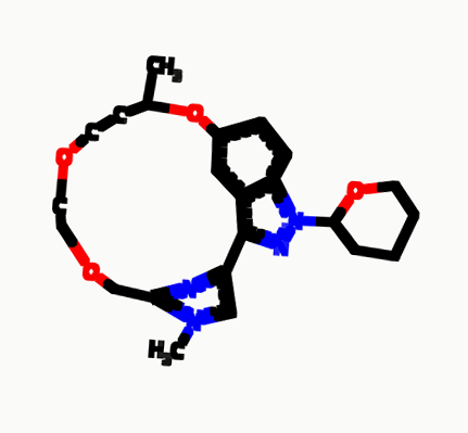 CC1CCOCCOCc2nc(cn2C)-c2nn(C3CCCCO3)c3ccc(cc23)O1